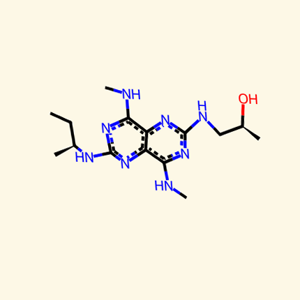 CC[C@H](C)Nc1nc(NC)c2nc(NC[C@H](C)O)nc(NC)c2n1